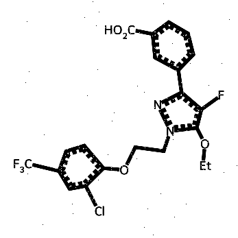 CCOc1c(F)c(-c2cccc(C(=O)O)c2)nn1CCOc1ccc(C(F)(F)F)cc1Cl